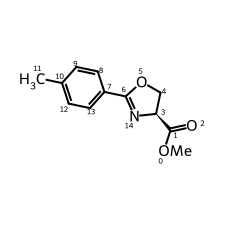 COC(=O)[C@@H]1COC(c2ccc(C)cc2)=N1